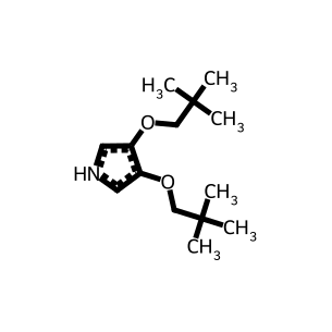 CC(C)(C)COc1c[nH]cc1OCC(C)(C)C